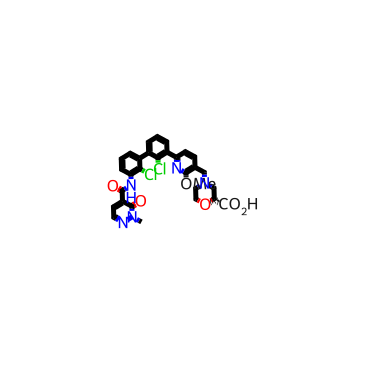 COc1nc(-c2cccc(-c3cccc(NC(=O)c4ccnn(C)c4=O)c3Cl)c2Cl)ccc1CN1CCO[C@@H](C(=O)O)C1